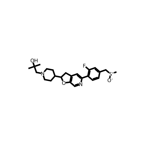 C[S+]([O-])Cc1ccc(-c2cc3c(cn2)OC(C2CCN(CC(C)(C)O)CC2)C3)c(F)c1